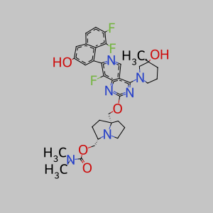 CN(C)C(=O)OC[C@@H]1CC[C@@]2(COc3nc(N4CCC[C@@](C)(O)C4)c4cnc(-c5cc(O)cc6ccc(F)c(F)c56)c(F)c4n3)CCCN12